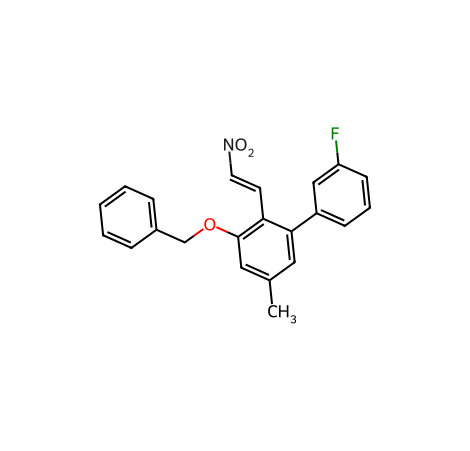 Cc1cc(OCc2ccccc2)c(/C=C/[N+](=O)[O-])c(-c2cccc(F)c2)c1